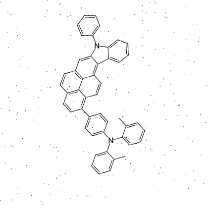 Cc1ccccc1N(c1ccc(-c2ccc3ccc4cc5c(c6ccc2c3c46)c2ccccc2n5-c2ccccc2)cc1)c1ccccc1C